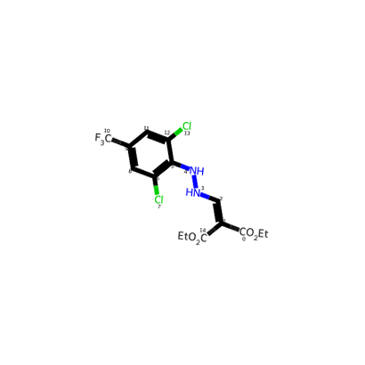 CCOC(=O)C(=CNNc1c(Cl)cc(C(F)(F)F)cc1Cl)C(=O)OCC